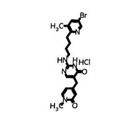 Cc1cc(Br)cnc1CCCCNc1ncc(Cc2ccn(C)c(=O)c2)c(=O)[nH]1.Cl